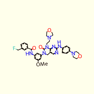 COc1cc(NC(=O)c2cccc(CF)c2)cc(N2Cc3cnc(Nc4ccc(N5CCOCC5)cc4)nc3N(CCN3CCOCC3)C2=O)c1